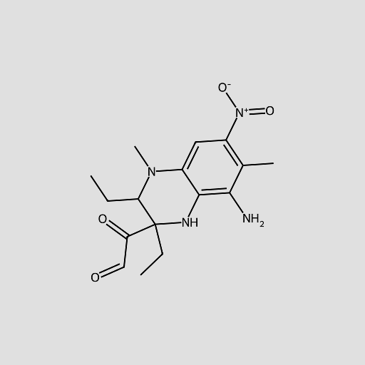 CCC1N(C)c2cc([N+](=O)[O-])c(C)c(N)c2NC1(CC)C(=O)C=O